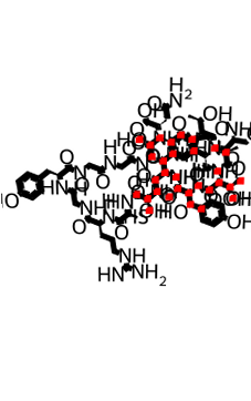 C[C@H](NC(=O)CNC(=O)CNC(=O)[C@H](Cc1ccc(O)cc1)NC(=O)CNC(=O)[C@H](CCCNC(=N)N)NC(=O)[C@H](C)NC(=O)[C@H](CS)NC(=O)[C@H](Cc1ccccc1)NC(=O)[C@H](Cc1ccc(O)cc1)NC(=O)[C@@H](NC(=O)[C@H](C)NC(=O)[C@@H](NC(=O)[C@H](CC(=O)O)NC(=O)[C@H](CCC(=O)O)NC(=O)[C@@H](NC(=O)[C@@H](NC(=O)[C@@H]1CCCN1C(=O)[C@@H](N)CO)[C@@H](C)O)[C@@H](C)O)[C@@H](C)O)[C@@H](C)O)C(=O)N[C@@H](CC(N)=O)C(=O)O